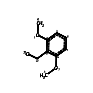 COc1cccc(OC)c1C[O]